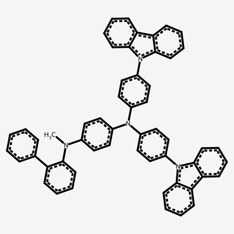 CN(c1ccc(N(c2ccc(-n3c4ccccc4c4ccccc43)cc2)c2ccc(-n3c4ccccc4c4ccccc43)cc2)cc1)c1ccccc1-c1ccccc1